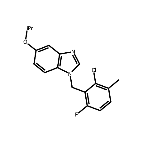 Cc1ccc(F)c(Cn2cnc3cc(OC(C)C)ccc32)c1Cl